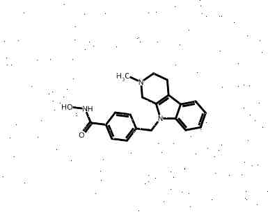 CN1CCc2c(n(Cc3ccc(C(=O)NO)cc3)c3ccccc23)C1